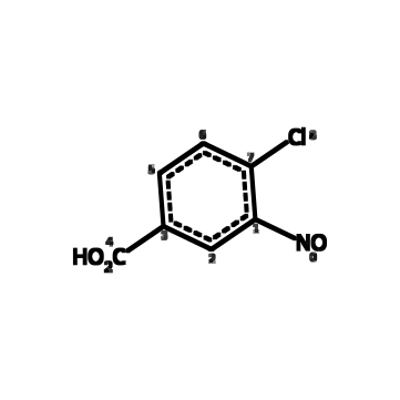 O=Nc1cc(C(=O)O)ccc1Cl